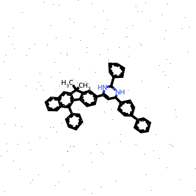 CC1(C)c2cc(C3=CC(c4ccc(-c5ccccc5)cc4)NC(c4ccccc4)N3)ccc2-c2c1cc1ccccc1c2-c1ccccc1